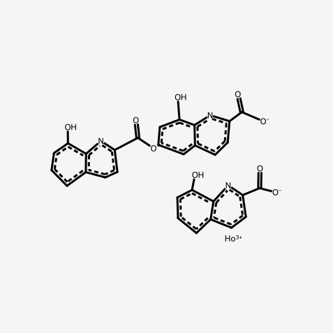 O=C([O-])c1ccc2cccc(O)c2n1.O=C([O-])c1ccc2cccc(O)c2n1.O=C([O-])c1ccc2cccc(O)c2n1.[Ho+3]